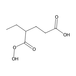 CCC(CCC(=O)O)C(=O)OO